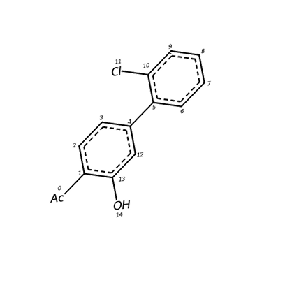 CC(=O)c1ccc(-c2ccc[c]c2Cl)cc1O